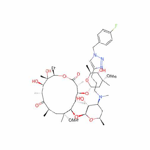 CC[C@H]1OC(=O)[C@H](C)[C@@H](O[C@H]2C[C@@](C)(OC)[C@@H](O)[C@H](C)O2)[C@H](C)[C@@H](O[C@@H]2O[C@H](C)C[C@H](N(C)CCCc3cn(Cc4ccc(F)cc4)nn3)[C@H]2O)[C@](C)(OC)C[C@@H](C)C(=O)[C@H](C)[C@@H](O)[C@]1(C)O